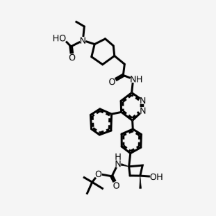 CCN(C(=O)O)C1CCC(CC(=O)Nc2cc(-c3ccccc3)c(-c3ccc([C@]4(NC(=O)OC(C)(C)C)C[C@](C)(O)C4)cc3)nn2)CC1